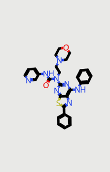 O=C(Nc1cccnc1)N(CCN1CCOCC1)c1nc(Nc2ccccc2)c2nc(-c3ccccc3)sc2n1